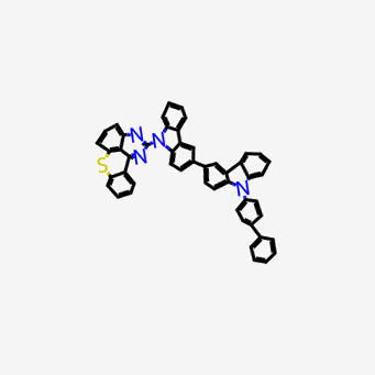 c1ccc(-c2ccc(-n3c4ccccc4c4cc(-c5ccc6c(c5)c5ccccc5n6-c5nc6c7c(cccc7n5)Sc5ccccc5-6)ccc43)cc2)cc1